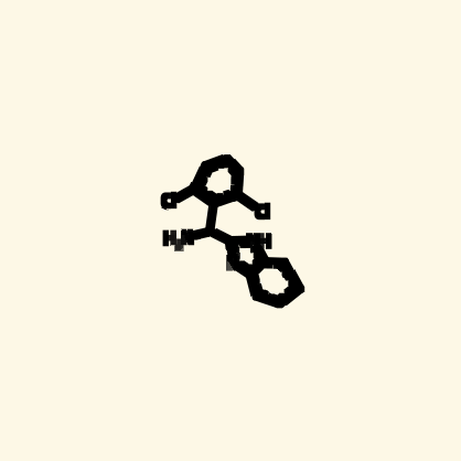 NC(c1nc2ccccc2[nH]1)c1c(Cl)cccc1Cl